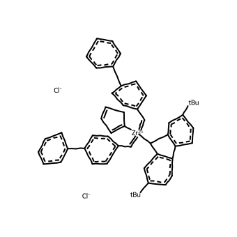 CC(C)(C)c1ccc2c(c1)[CH]([Zr+2](=[CH]c1ccc(-c3ccccc3)cc1)(=[CH]c1ccc(-c3ccccc3)cc1)[C]1=CC=CC1)c1cc(C(C)(C)C)ccc1-2.[Cl-].[Cl-]